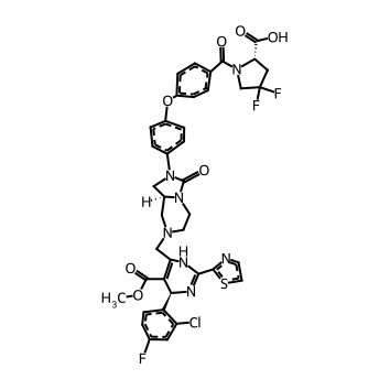 COC(=O)C1=C(CN2CCN3C(=O)N(c4ccc(Oc5ccc(C(=O)N6CC(F)(F)C[C@H]6C(=O)O)cc5)cc4)C[C@@H]3C2)NC(c2nccs2)=N[C@H]1c1ccc(F)cc1Cl